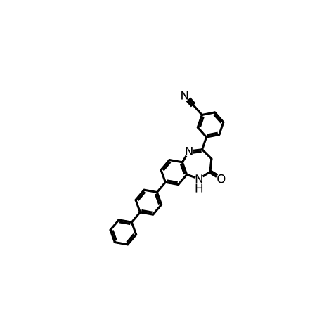 N#Cc1cccc(C2=Nc3ccc(-c4ccc(-c5ccccc5)cc4)cc3NC(=O)C2)c1